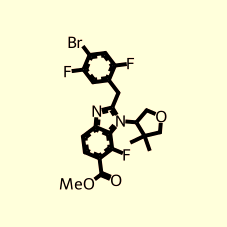 COC(=O)c1ccc2nc(Cc3cc(F)c(Br)cc3F)n(C3COCC3(C)C)c2c1F